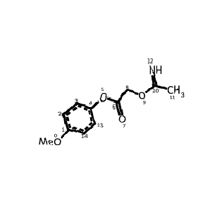 COc1ccc(OC(=O)COC(C)=N)cc1